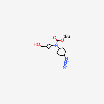 CC(C)(C)OC(=O)N(C1CCC(N=[N+]=[N-])CC1)C1CC(CO)C1